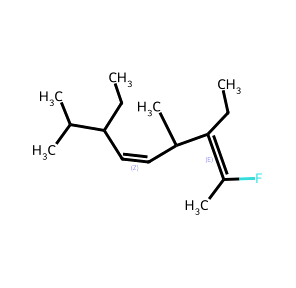 CC/C(=C(/C)F)C(C)/C=C\C(CC)C(C)C